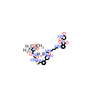 CC1C(C(=O)NCC(=O)NC2NC(c3cccc(C4CCNC(N(C)CC(=O)NCCCCCNc5cccc6c5C(=O)N(C5CCC(=O)NC5=O)C6=O)C4)c3)CS2)CN(S(C)(=O)=O)C1C